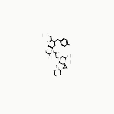 C[C@@H]1CN(CC(=O)N2c3cc(Cc4ccc(F)cc4)c(CO)nc3OC[C@@H]2C)[C@@H](CN2CCOC[C@@H]2C2CC2)CN1